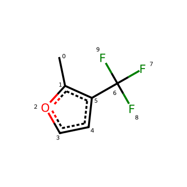 Cc1occc1C(F)(F)F